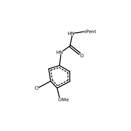 CCCCCNC(=O)Nc1ccc(OC)c(Cl)c1